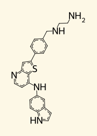 NCCNCc1ccc(-c2cc3nccc(Nc4ccc5[nH]ccc5c4)c3s2)cc1